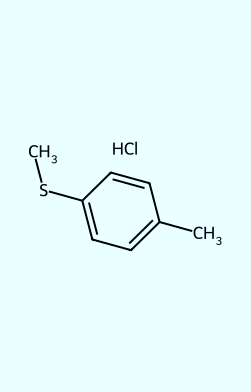 CSc1ccc(C)cc1.Cl